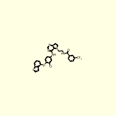 O=C(NCCn1ccc2ncnc(Nc3ccc(Oc4cccc5sccc45)c(Cl)c3)c21)c1cccc(C(F)(F)F)c1